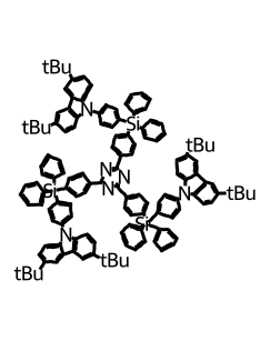 CC(C)(C)c1ccc2c(c1)c1cc(C(C)(C)C)ccc1n2-c1ccc([Si](c2ccccc2)(c2ccccc2)c2ccc(-c3nc(-c4ccc([Si](c5ccccc5)(c5ccccc5)c5ccc(-n6c7ccc(C(C)(C)C)cc7c7cc(C(C)(C)C)ccc76)cc5)cc4)nc(-c4ccc([Si](c5ccccc5)(c5ccccc5)c5ccc(-n6c7ccc(C(C)(C)C)cc7c7cc(C(C)(C)C)ccc76)cc5)cc4)n3)cc2)cc1